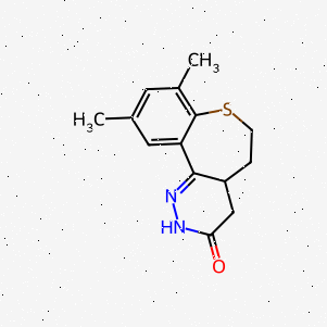 Cc1cc(C)c2c(c1)C1=NNC(=O)CC1CCS2